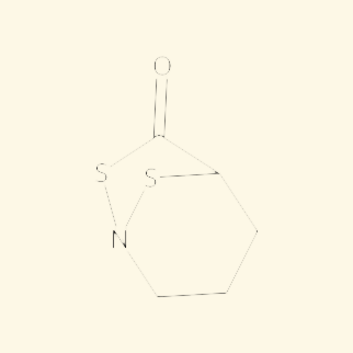 O=C1SN2CCCC1S2